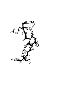 C=CC(C)(C)CCCN1C(=O)CC(=O)N(CCCC(C)(C)C=C)C1=O